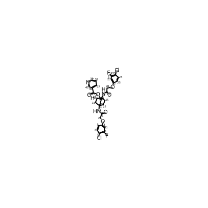 O=C(COc1ccc(Cl)c(F)c1)NC12CCC(NC(=O)COc3ccc(Cl)c(F)c3)(CC1)[C@H](OC(=O)c1cccnc1)C2